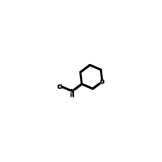 ClNC1CCCOC1